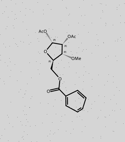 CO[C@H]1[C@@H](OC(C)=O)[C@@H](OC(C)=O)O[C@@H]1COC(=O)c1ccccc1